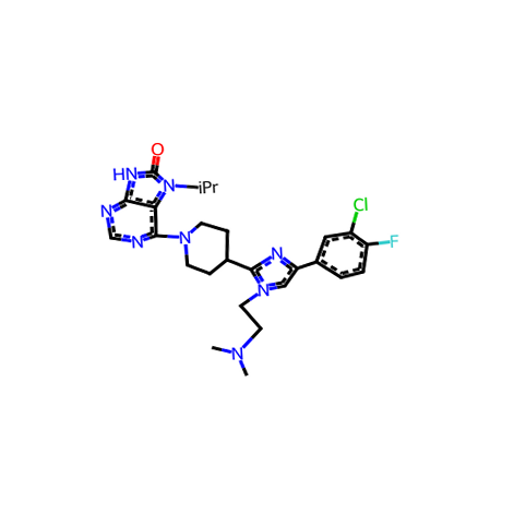 CC(C)n1c(=O)[nH]c2ncnc(N3CCC(c4nc(-c5ccc(F)c(Cl)c5)cn4CCN(C)C)CC3)c21